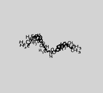 CC(C)CCC[C@@H](C)[C@H]1CC[C@H]2C3CC=C4C[C@@H](OC(=O)NCCN(C)CCNC(=O)O[C@H]5CC[C@@]6(C)C(=CCC7[C@@H]8CC[C@H]([C@H](C)CCCC(C)C)[C@@]8(C)CC[C@@H]76)C5)CC[C@]4(C)[C@H]3CC[C@]12C